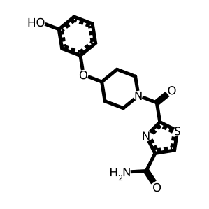 NC(=O)c1csc(C(=O)N2CCC(Oc3cccc(O)c3)CC2)n1